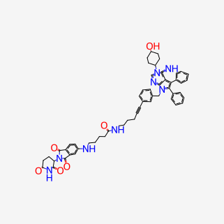 N=c1c2c(-c3ccccc3)c(-c3ccccc3)n(Cc3cccc(C#CCCCCNC(=O)CCCCNc4ccc5c(c4)C(=O)N(C4CCC(=O)NC4=O)C5=O)c3)c2ncn1C1CCC(O)CC1